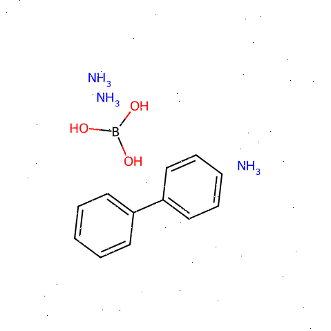 N.N.N.OB(O)O.c1ccc(-c2ccccc2)cc1